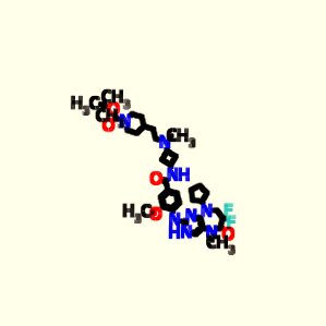 COc1cc(C(=O)NC2CC(N(C)CCC3CCN(C(=O)OC(C)(C)C)CC3)C2)ccc1Nc1ncc2c(n1)N(C1CCCC1)CC(F)(F)C(=O)N2C